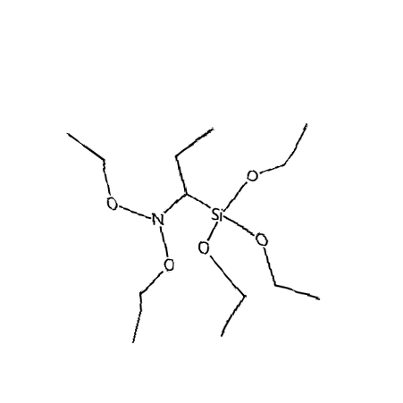 CCON(OCC)C(CC)[Si](OCC)(OCC)OCC